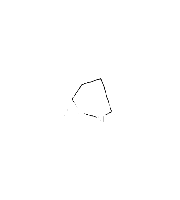 C1CC[SiH2]OC1.[Pt]